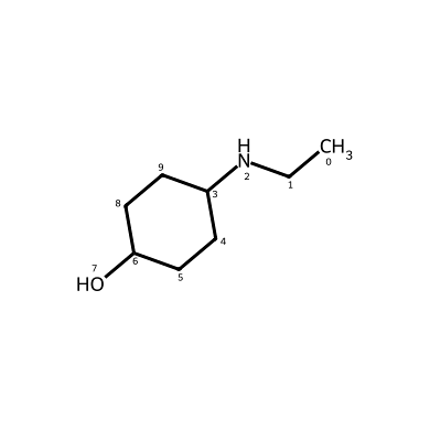 CCNC1CCC(O)CC1